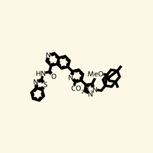 COC12CC3(C)CC(C)(CC(Cn4ncc(-c5ccc(-c6ccc7cncc(C(=O)Nc8nc9ccccc9s8)c7c6)nc5C(=O)O)c4C)(C3)C1)C2